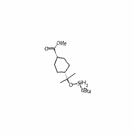 COC(=O)[C@H]1CC[C@H](C(C)(C)O[SiH2]C(C)(C)C)CC1